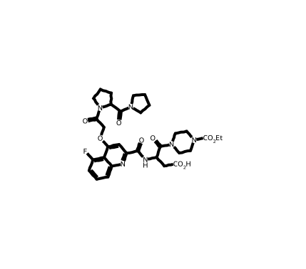 CCOC(=O)N1CCN(C(=O)C(CC(=O)O)NC(=O)c2cc(OCC(=O)N3CCCC3C(=O)N3CCCC3)c3c(F)cccc3n2)CC1